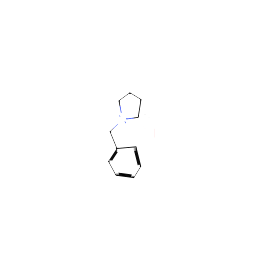 O[C@H]1CCCN1Cc1ccccc1